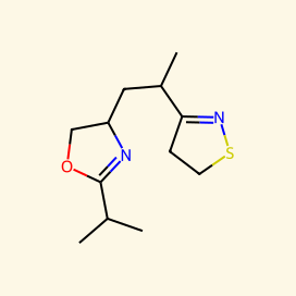 CC(C)C1=NC(CC(C)C2=NSCC2)CO1